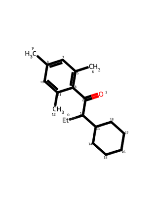 [CH2]CC(C(=O)c1c(C)cc(C)cc1C)C1CCCCC1